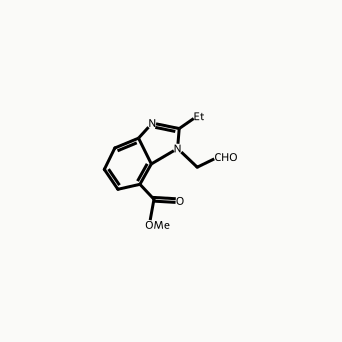 CCc1nc2cccc(C(=O)OC)c2n1CC=O